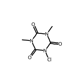 Cn1c(=O)n(C)c(=O)n(Cl)c1=O